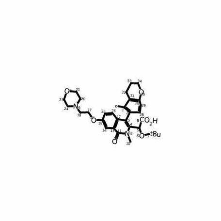 Cc1c(-c2c(C(OC(C)(C)C)C(=O)O)n(C)c(=O)c3cc(OCCN4CCOCC4)ccc23)ccc2c1CCCO2